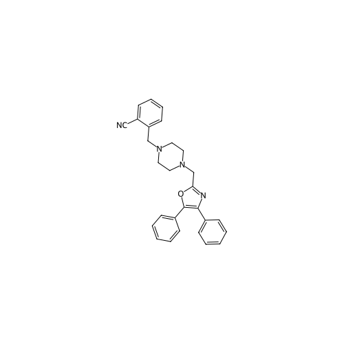 N#Cc1ccccc1CN1CCN(Cc2nc(-c3ccccc3)c(-c3ccccc3)o2)CC1